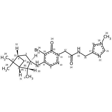 C[C@@H]1[C@H]2C[C@@H](C[C@H]1Nc1cnn(CC(=O)NCc3cn(C)cn3)c(=O)c1Br)C2(C)C